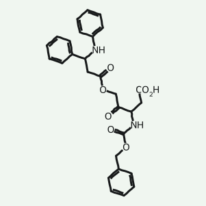 O=C(O)CC(NC(=O)OCc1ccccc1)C(=O)COC(=O)CC(Nc1ccccc1)c1ccccc1